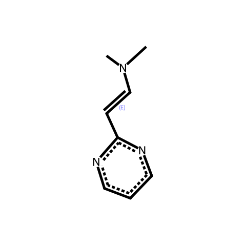 CN(C)/C=C/c1ncccn1